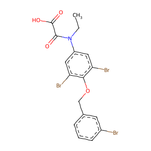 CCN(C(=O)C(=O)O)c1cc(Br)c(OCc2cccc(Br)c2)c(Br)c1